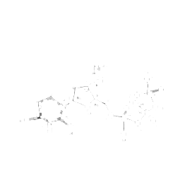 O=c1ccn([C@H]2C[C@H](O)[C@@H](COP(=O)([O-])OP(=O)([O-])OP(=O)([O-])[O-])O2)c(=O)[nH]1.[Ni+4]